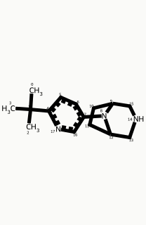 CC(C)(C)c1ccc(N2C3CCC2CNC3)cn1